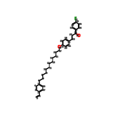 C=Cc1ccc(CCCCCCCCCCCCOc2ccc(/C=C/C(=O)c3ccc(F)cc3)cc2)cc1